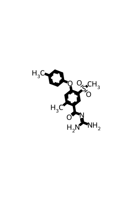 Cc1ccc(Oc2cc(C)c(C(=O)N=C(N)N)cc2S(C)(=O)=O)cc1